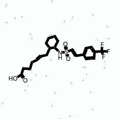 O=C(O)CCC/C=C/CC1CCCCC1NS(=O)(=O)/C=C/c1ccc(C(F)(F)F)cc1